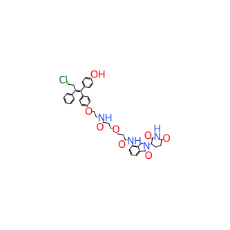 O=C(CCOCCC(=O)Nc1cccc2c1CN(C1CCC(=O)NC1=O)C2=O)NCCOc1ccc(C(=C(CCCl)c2ccccc2)c2ccc(O)cc2)cc1